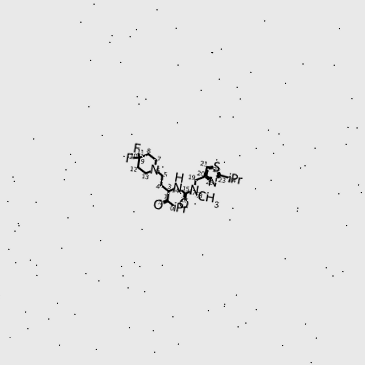 CC(C)C(=O)C(CCN1CCC(F)(F)CC1)NC(=O)N(C)Cc1csc(C(C)C)n1